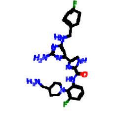 NCC1CCN(c2c(F)cccc2NC(=O)c2nc(-c3cc(NCc4ccc(F)cc4)nc(N)n3)c[nH]2)CC1